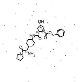 N[C@H](C(=O)N1CCCC1)[C@H]1CC[C@H](NC(=O)[C@@H]2C[C@@H](O)CN2C(=O)OCc2ccccc2)CC1